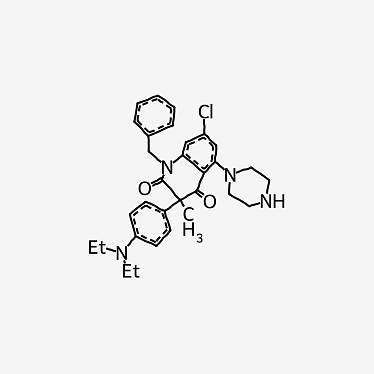 CCN(CC)c1ccc(C2(C)C(=O)c3c(N4CCNCC4)cc(Cl)cc3N(Cc3ccccc3)C2=O)cc1